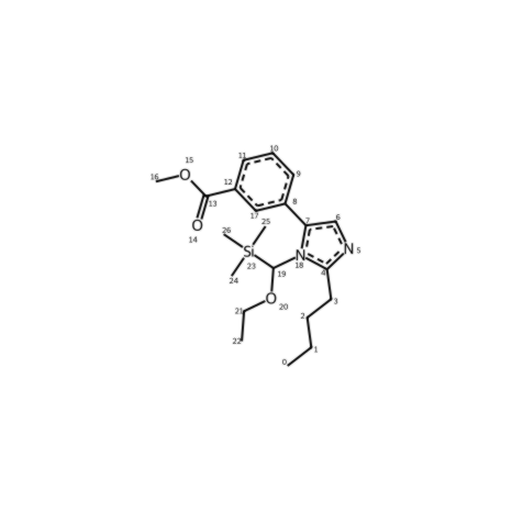 CCCCc1ncc(-c2cccc(C(=O)OC)c2)n1C(OCC)[Si](C)(C)C